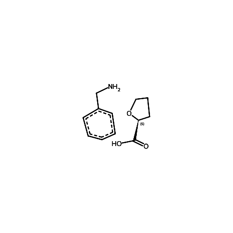 NCc1ccccc1.O=C(O)[C@@H]1CCCO1